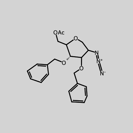 CC(=O)OCC1OCC(N=[N+]=[N-])C(OCc2ccccc2)[C@@H]1OCc1ccccc1